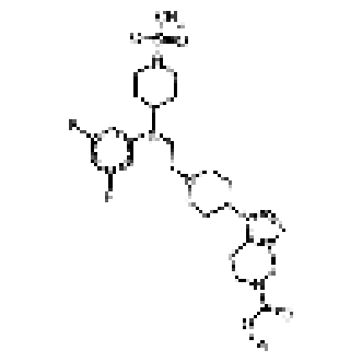 CC(C)OC(=O)N1CCc2c(ncn2C2CCN(CC[C@@H](c3cc(F)cc(F)c3)C3CCN(S(C)(=O)=O)CC3)CC2)C1